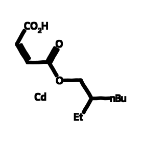 CCCCC(CC)COC(=O)/C=C\C(=O)O.[Cd]